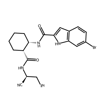 CC(C)C[C@@H](C#N)NC(=O)[C@@H]1CCCC[C@@H]1NC(=O)c1cc2ccc(Br)cc2[nH]1